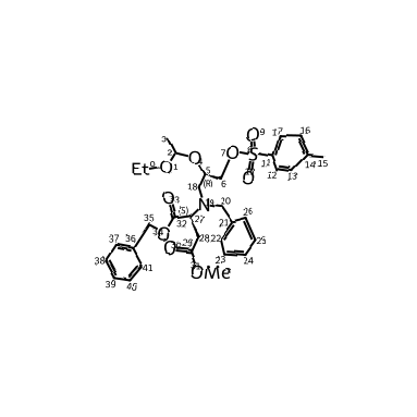 CCOC(C)O[C@@H](COS(=O)(=O)c1ccc(C)cc1)CN(Cc1ccccc1)[C@@H](CC(=O)OC)C(=O)OCc1ccccc1